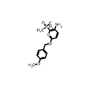 COc1ccc(COc2ccc(N)c(P(C)(C)=O)n2)cc1